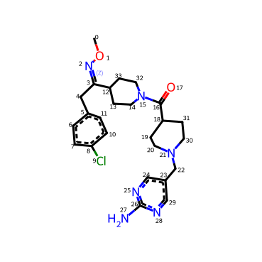 CO/N=C(/Cc1ccc(Cl)cc1)C1CCN(C(=O)C2CCN(Cc3cnc(N)nc3)CC2)CC1